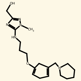 Cn1nc(CO)nc1NCCCOC1=CCC=C(CN2CCCCC2)C1